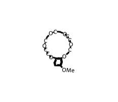 COc1ccc2c(c1)OCCOCCOCCOCCOCCO2